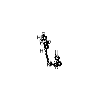 O=C1CCC(N2C(=O)c3ccc(NCCCCCCn4cc(-c5cnc6cccc(C7CCNCC7)c6n5)cn4)cc3C2=O)C(=O)N1